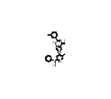 C=C(NC(CC)c1cccc(C)c1)c1cn(-c2cc(Nc3ccccc3)ncc2C)cn1